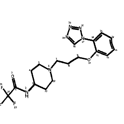 O=C(NC1CCN(CCCOc2ccccc2-n2cnnn2)CC1)C(F)(F)F